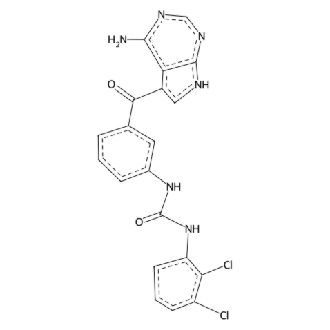 Nc1ncnc2[nH]cc(C(=O)c3cccc(NC(=O)Nc4cccc(Cl)c4Cl)c3)c12